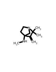 C=C1C2(NC)CCN(C2)C1(C)C